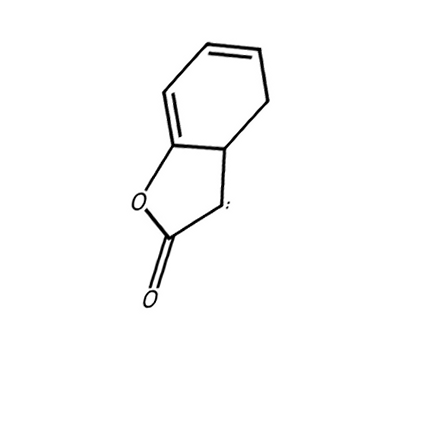 O=C1[C]C2CC=CC=C2O1